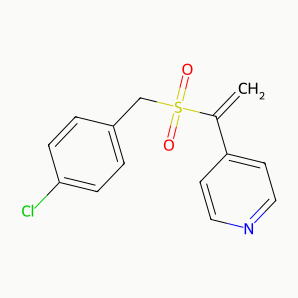 C=C(c1ccncc1)S(=O)(=O)Cc1ccc(Cl)cc1